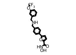 O=C(NO)c1ccc(-c2ccc(CNCc3cccc(OC(F)(F)F)c3)cc2)o1